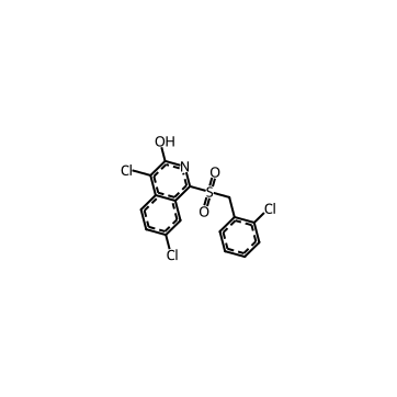 O=S(=O)(Cc1ccccc1Cl)c1nc(O)c(Cl)c2ccc(Cl)cc12